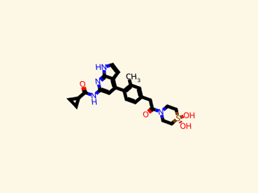 Cc1cc(CC(=O)N2CCS(O)(O)CC2)ccc1-c1cc(NC(=O)C2CC2)nc2[nH]ccc12